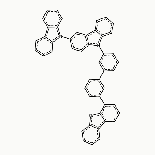 c1cc(-c2cccc(-n3c4ccccc4c4cc(-n5c6ccccc6c6ccccc65)ccc43)c2)cc(-c2cccc3c2oc2ccccc23)c1